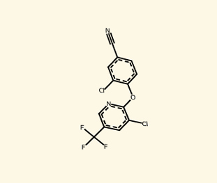 N#Cc1ccc(Oc2ncc(C(F)(F)F)cc2Cl)c(Cl)c1